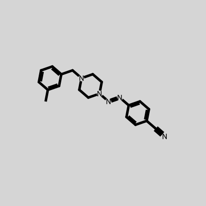 Cc1cccc(CN2CCN(/N=N/c3ccc(C#N)cc3)CC2)c1